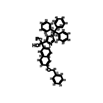 CC(C)C(O)(c1ccc2cc(OCc3ccccc3)ccc2c1)c1cn(C(c2ccccc2)(c2ccccc2)c2ccccc2)cn1